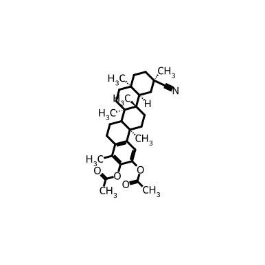 CC(=O)Oc1cc2c(c(C)c1OC(C)=O)CCC1[C@@]2(C)CC[C@@]2(C)[C@@H]3C[C@](C)(C#N)CC[C@]3(C)CC[C@]12C